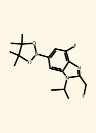 CC(C)n1c(CF)nc2c(F)cc(B3OC(C)(C)C(C)(C)O3)cc21